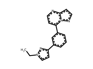 CCn1ccc(-c2cccc(-c3ccnc4[c]cnn34)c2)n1